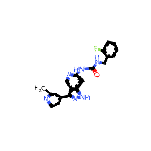 Cc1cc(-c2n[nH]c3cc(NC(=O)NCc4ccccc4F)ncc23)ccn1